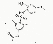 COc1ccc(NS(=O)(=O)c2c(C)cc(OC(C)=O)cc2C)c(N)c1